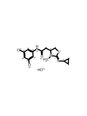 CN1C(=NC2CC2)SCC1CC(=O)Nc1cc(Cl)cc(Cl)c1.Cl